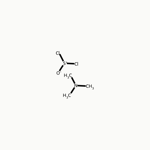 CN(C)C.[O-][S+](Cl)Cl